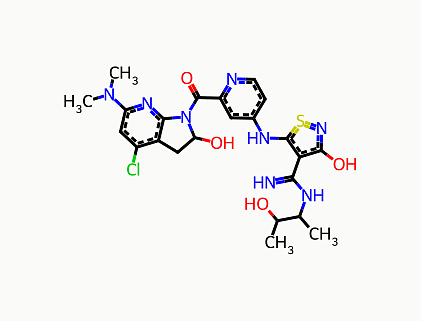 CC(O)C(C)NC(=N)c1c(O)nsc1Nc1ccnc(C(=O)N2c3nc(N(C)C)cc(Cl)c3CC2O)c1